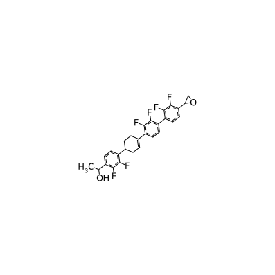 CC(O)c1ccc(C2CC=C(c3ccc(-c4ccc(C5CO5)c(F)c4F)c(F)c3F)CC2)c(F)c1F